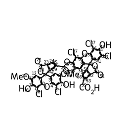 COc1cc2c(c(Cl)c1O)Oc1c(cc(OC)c(O)c1Cl)C21OC(=O)c2ccc(C(=O)Oc3c(Cl)cc4c(c3Cl)Oc3c(cc(Cl)c(O)c3Cl)C43OC(=O)c4cc(C(=O)O)ccc43)cc21